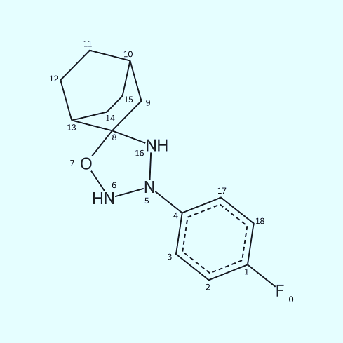 Fc1ccc(N2NOC3(CC4CCC3CC4)N2)cc1